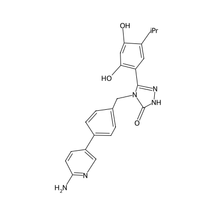 CC(C)c1cc(-c2n[nH]c(=O)n2Cc2ccc(-c3ccc(N)nc3)cc2)c(O)cc1O